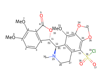 COc1ccc2c(c1OC)C(=O)O[C@@H]2[C@H]1c2c(c(S(=O)(=O)Cl)c3c(c2OC)OCO3)CCN1C